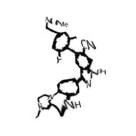 CNCc1cc(C)c(-c2cc3c(-c4ccc5c(c4)NCC4CN(C)CCN54)n[nH]c3cc2C#N)c(F)c1